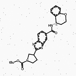 CC(C)(C)OC(=O)N1CCC(c2nc3ccc(C(=O)N[C@H]4CCOc5ccccc54)cc3s2)C1